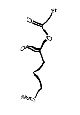 CCC(=O)OC(=O)CCCOC